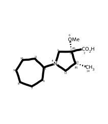 CO[C@@]1(C(=O)O)CN(C2CCCCCC2)C[C@H]1C